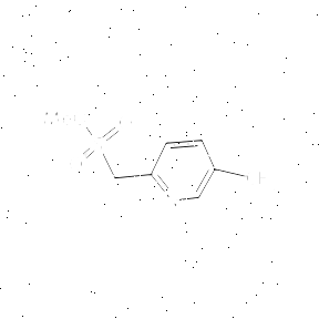 COS(=O)(=O)Cc1ccc(C(F)(F)F)cn1